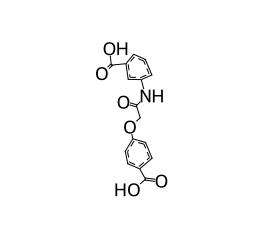 O=C(COc1ccc(C(=O)O)cc1)Nc1cccc(C(=O)O)c1